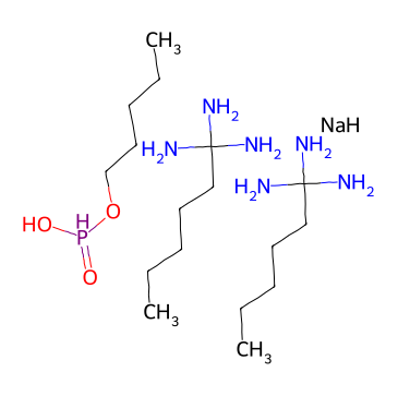 CCCCCC(N)(N)N.CCCCCC(N)(N)N.CCCCCO[PH](=O)O.[NaH]